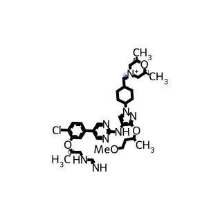 COCCC(C)Oc1nn(C2CCC(/C=[N+]3/C[C@@H](C)O[C@@H](C)C3)CC2)cc1Nc1ncc(-c2ccc(Cl)c(O[C@@H](C)CNC=N)c2)cn1